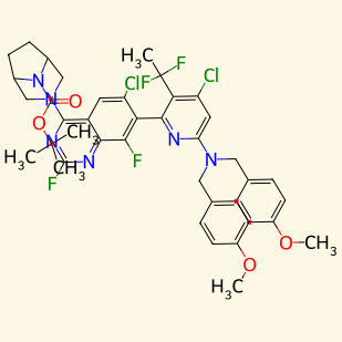 COc1ccc(CN(Cc2ccc(OC)cc2)c2cc(Cl)c(C(C)(F)F)c(-c3c(Cl)cc4c(N5CC6CCC(C5)N6C(=O)OC(C)(C)C)nc(F)nc4c3F)n2)cc1